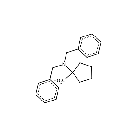 O=C(O)C1(N(Cc2ccccc2)Cc2ccccc2)CCCC1